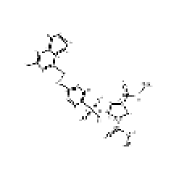 Cc1cc(COc2ccc(S(=O)(=O)N[C@@H]3CN(C(=O)OC(C)(C)C)C[C@@H]3C(=O)OC(C)(C)C)cc2)c2ccccc2n1